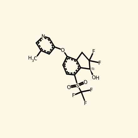 Cc1cncc(Oc2ccc(S(=O)(=O)C(F)(F)F)c3c2CC(F)(F)[C@H]3O)c1